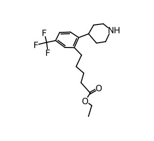 CCOC(=O)CCCCc1cc(C(F)(F)F)ccc1C1CCNCC1